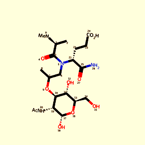 CN[C@@H](C)C(=O)N(CC(C)O[C@H]1[C@H](O)[C@@H](CO)O[C@H](O)[C@@H]1NC(C)=O)[C@H](CCC(=O)O)C(N)=O